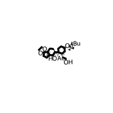 CC(=O)O[C@@H]1[C@H]([C@@]2(C)CC[C@H](O[Si](C)(C)C(C)(C)C)C[C@@H]2CCO)CC[C@@]2(C)[C@@H]1CCC21OCCO1